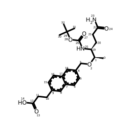 C[C@@H](OCc1ccc2cc(CCC(=O)O)ccc2c1)[C@H](CCC(N)=O)NC(=O)OC(C)(C)C